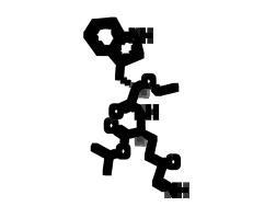 CCO[C@@H](Cc1c[nH]c2ccccc12)C(=O)N[C@@H](CCC(=O)C=N)C(=O)OC(C)C